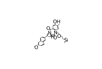 COc1ccc2cc(C3=CN4C(=O)c5cc(O)c(C)cc5N(COCC[Si](C)(C)C)C(=O)[C@@H]4C3)ccc2c1